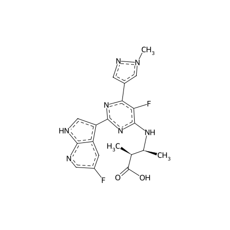 C[C@H](Nc1nc(-c2c[nH]c3ncc(F)cc23)nc(-c2cnn(C)c2)c1F)[C@H](C)C(=O)O